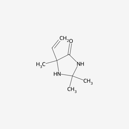 C=CC1(C)NC(C)(C)NC1=O